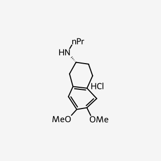 CCCN[C@@H]1CCc2cc(OC)c(OC)cc2C1.Cl